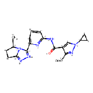 COc1nn(C2CC2)cc1C(=O)Nc1cccc(-c2nnc3n2[C@H](C)CC3)n1